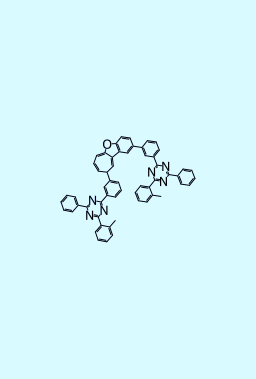 Cc1ccccc1-c1nc(-c2ccccc2)nc(-c2cccc(-c3ccc4oc5c(c4c3)=CC(c3cccc(-c4nc(-c6ccccc6)nc(-c6ccccc6C)n4)c3)C=CC=5)c2)n1